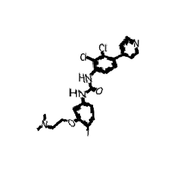 CN(C)CCOc1cc(NC(=O)Nc2ccc(-c3ccncc3)c(Cl)c2Cl)ccc1I